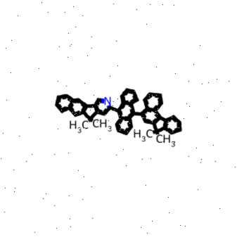 CC1(C)c2cc(-c3c4ccccc4c(-c4cc5c(c6ccccc46)-c4ccccc4C5(C)C)c4ccccc34)ncc2-c2cc3ccccc3cc21